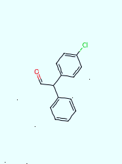 O=CC(c1ccccc1)c1ccc(Cl)cc1